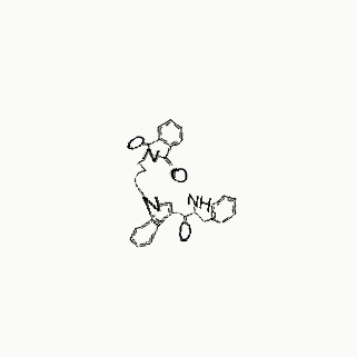 NC(Cc1ccccc1)C(=O)c1cn(CCCN2C(=O)c3ccccc3C2=O)c2ccccc12